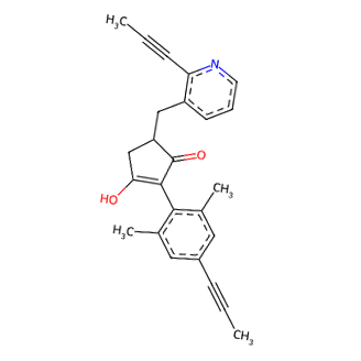 CC#Cc1cc(C)c(C2=C(O)CC(Cc3cccnc3C#CC)C2=O)c(C)c1